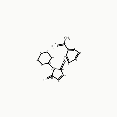 C=C(C)c1ccccc1.O=C1C=CC(=O)N1C1CCCCC1